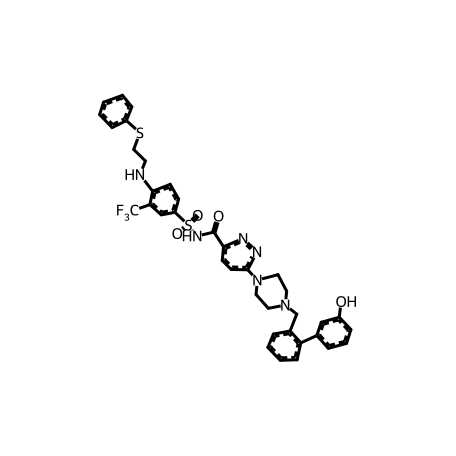 O=C(NS(=O)(=O)c1ccc(NCCSc2ccccc2)c(C(F)(F)F)c1)c1ccc(N2CCN(Cc3ccccc3-c3cccc(O)c3)CC2)nn1